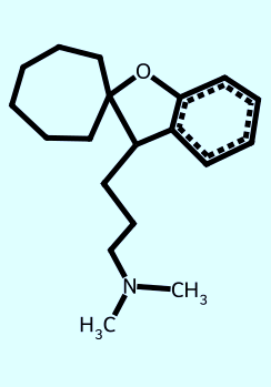 CN(C)CCCC1c2ccccc2OC12CCCCCC2